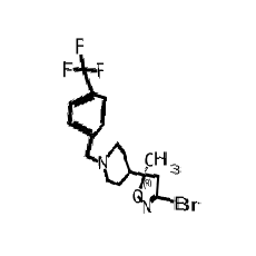 C[C@]1(C2CCN(Cc3ccc(C(F)(F)F)cc3)CC2)CC(Br)=NO1